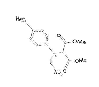 COC(=O)C(C(=O)OC)[C@H](C[N+](=O)[O-])c1ccc(OC)cc1